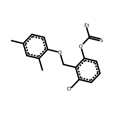 CCC(=S)Oc1cccc(Cl)c1COc1ccc(C)cc1C